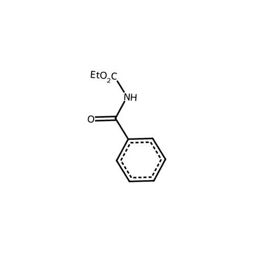 CCOC(=O)NC(=O)c1ccccc1